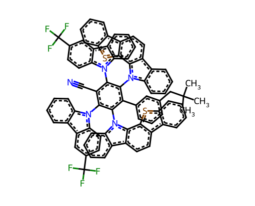 CC(C)(C)Cc1cccc(-c2c(-n3c4ccccc4c4ccc5c6ccccc6sc5c43)c(-n3c4ccccc4c4cc(C(F)(F)F)ccc43)c(C#N)c(-n3c4ccccc4c4cc(C(F)(F)F)ccc43)c2-n2c3ccccc3c3ccc4c5ccccc5sc4c32)c1